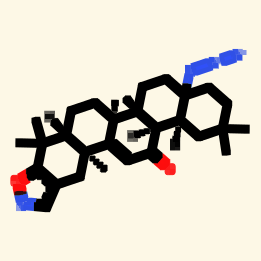 CC1(C)CCC2(N=[N+]=[N-])CC[C@]3(C)[C@H](C(=O)C=C4[C@@]5(C)Cc6cnoc6C(C)(C)[C@@H]5CC[C@]43C)[C@@H]2C1